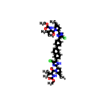 COC(=O)N[C@H](C(=O)N1C2C(C)C2C[C@H]1c1nc(Cl)c(-c2ccc(-c3ccc4cc(-c5[nH]c([C@@H]6CC7C(C)C7N6C(=O)[C@@H](NC(=O)OC)C(C)C)nc5Cl)ccc4c3)cc2)[nH]1)C(C)C